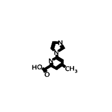 Cc1cc(C(=O)O)nc(-n2ccnc2)c1